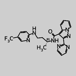 C[C@H](CCNc1ccc(C(F)(F)F)cn1)NC(=O)c1c(-c2ncccn2)nn2ccccc12